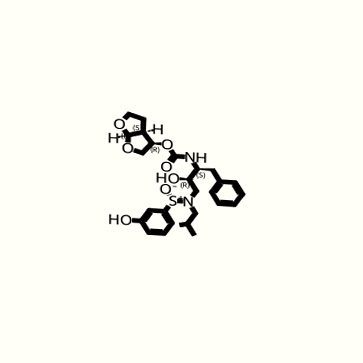 CC(C)CN(C[C@@H](O)[C@H](Cc1ccccc1)NC(=O)O[C@H]1CO[C@H]2OCC[C@H]21)[S+]([O-])c1cccc(O)c1